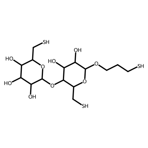 OC1C(CS)OC(OC2C(CS)OC(OCCCS)C(O)C2O)C(O)C1O